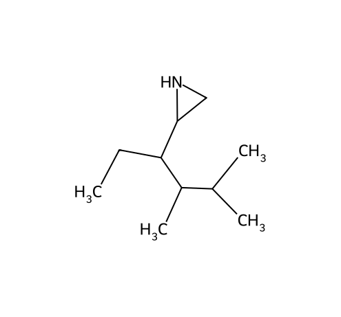 CCC(C1CN1)C(C)C(C)C